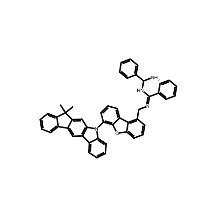 CC1(C)c2ccccc2-c2cc3c4ccccc4n(-c4cccc5c4oc4cccc(C/N=C(\NC(N)c6ccccc6)c6ccccc6)c45)c3cc21